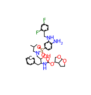 CC(C)CN(CC(O)C(Cc1ccccc1)NC(=O)OC1COC2OCCC12)S(=O)(=O)c1ccc(N)c(NCc2ccc(F)cc2F)c1